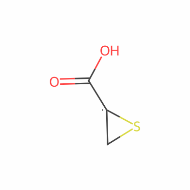 O=C(O)[C]1CS1